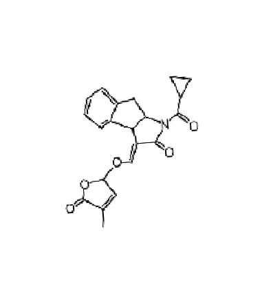 CC1=CC(O/C=C2/C(=O)N(C(=O)C3CC3)C3Cc4ccccc4C23)OC1=O